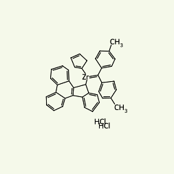 Cc1ccc([C](c2ccc(C)cc2)=[Zr]([C]2=CC=CC2)[CH]2c3ccccc3-c3c2c2ccccc2c2ccccc32)cc1.Cl.Cl